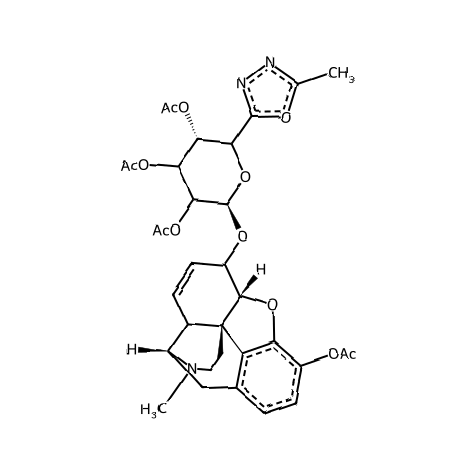 CC(=O)Oc1ccc2c3c1O[C@H]1C(O[C@@H]4OC(c5nnc(C)o5)[C@@H](OC(C)=O)C(OC(C)=O)C4OC(C)=O)C=CC4[C@@H](C2)N(C)CC[C@@]341